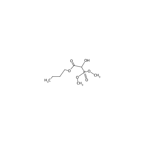 CCCCOC(=O)C(O)P(=O)(OC)OC